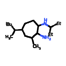 CCC(CC)NC1CCC(C(C)C(C)CC)CC(C)C1N